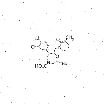 CN1CCCN(C[C@H]2OC(C(C)(C)C)CN(C(=O)O)C[C@H]2c2ccc(Cl)c(Cl)c2)C1=O